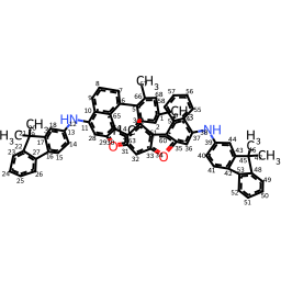 Cc1cc(C)c(-c2cccc3c(Nc4ccc5c(c4)C(C)(C)c4ccccc4-5)cc4oc5cc6oc7cc(Nc8ccc9c(c8)C(C)(C)c8ccccc8-9)c8ccccc8c7c6cc5c4c23)c(C)c1